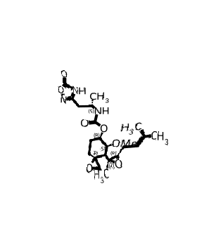 CO[C@H]1C([C@@]2(C)O[C@@H]2CC=C(C)C)[C@]2(CC[C@H]1OC(=O)N[C@@H](C)Cc1noc(=O)[nH]1)CO2